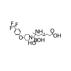 CC(N)(CCCCCC(=O)O)C(B(O)O)N1CCC(Oc2ccc(C(F)(F)F)cc2)CC1